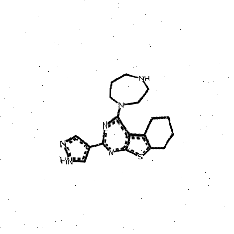 c1n[nH]cc1-c1nc(N2CCCNCC2)c2c3c(sc2n1)CCCC3